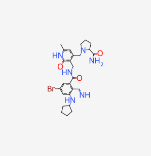 Cc1cc(CN2CCCC2C(N)=O)c(CNC(=O)c2cc(Br)cc(NC3CCCC3)c2C=N)c(=O)[nH]1